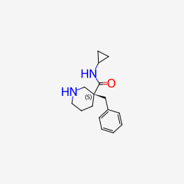 O=C(NC1CC1)[C@]1(Cc2ccccc2)CCCNC1